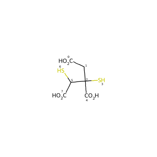 O=C(O)CC(S)(C(=O)O)C(S)C(=O)O